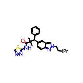 CC(C)CCn1cc2cc(C(c3ccccc3)C(C)(C)C(=O)Nc3nncs3)ccc2n1